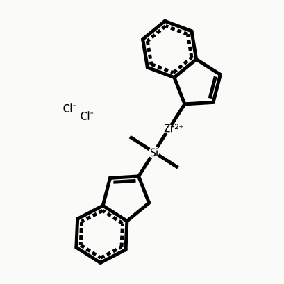 C[Si](C)([Zr+2][CH]1C=Cc2ccccc21)C1=Cc2ccccc2C1.[Cl-].[Cl-]